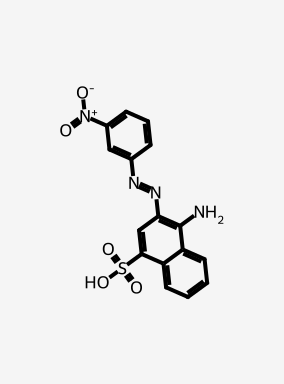 Nc1c(/N=N/c2cccc([N+](=O)[O-])c2)cc(S(=O)(=O)O)c2ccccc12